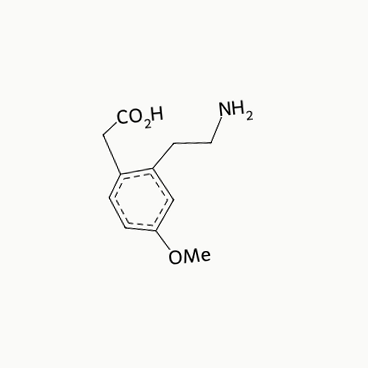 COc1ccc(CC(=O)O)c(CCN)c1